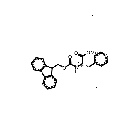 COC(=O)[C@H](Cc1ccncc1)NC(=O)OCC1c2ccccc2-c2ccccc21